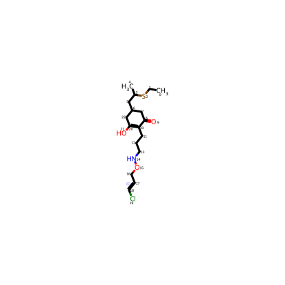 CCSC(C)CC1CC(=O)C(CCCNOC/C=C/Cl)=C(O)C1